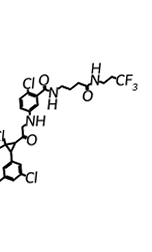 O=C(CCCNC(=O)c1cc(NCC(=O)C2C(c3cc(Cl)cc(Cl)c3)C2(Cl)Cl)ccc1Cl)NCCC(F)(F)F